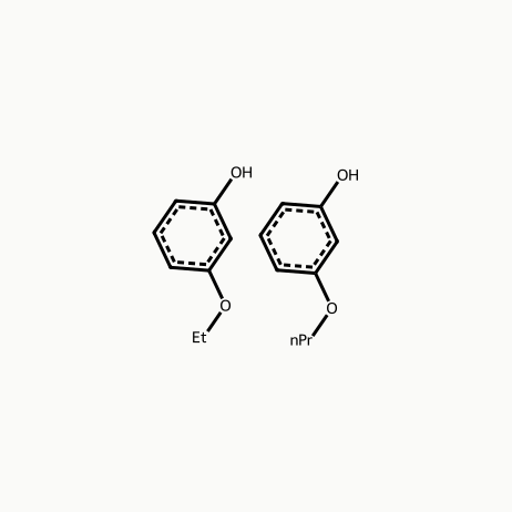 CCCOc1cccc(O)c1.CCOc1cccc(O)c1